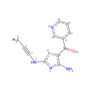 CC#CNc1nc(N)c(C(=O)c2cccnc2)s1